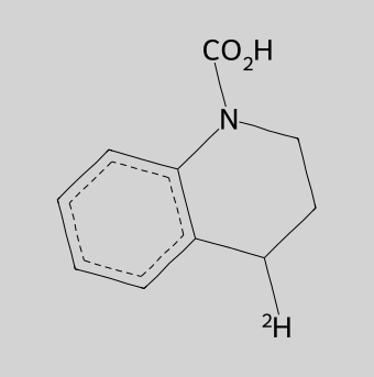 [2H]C1CCN(C(=O)O)c2ccccc21